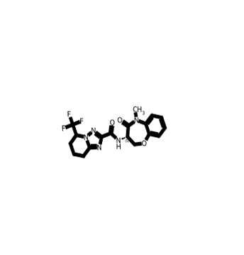 CN1C(=O)[C@@H](NC(=O)c2nc3n(n2)C(C(F)(F)F)CCC3)COc2ccccc21